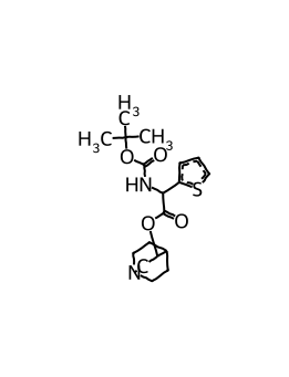 CC(C)(C)OC(=O)NC(C(=O)OC1CN2CCC1CC2)c1cccs1